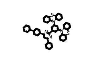 c1ccc(-c2ccc(-c3cc(-c4ccccc4)nc(-c4cc(N5c6ccccc6Sc6ccccc65)cc(N5c6ccccc6Sc6ccccc65)c4)n3)cc2)cc1